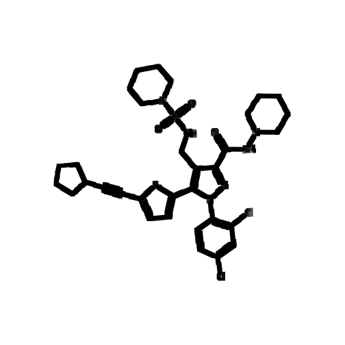 O=C(NN1CCCCC1)c1nn(-c2ccc(Cl)cc2Cl)c(-c2ccc(C#CC3CCCC3)s2)c1CNS(=O)(=O)N1CCCCC1